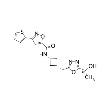 C[C@@H](O)c1nnc(C[C@H]2C[C@@H](NC(=O)c3cc(-c4cccs4)no3)C2)o1